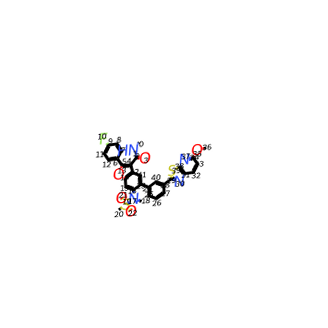 CNC(=O)c1c(-c2ccc(F)cc2)oc2cc(N(C)S(C)(=O)=O)c(-c3cccc(-c4nc5ccc(OC)nc5s4)c3)cc12